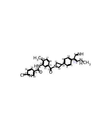 CN/C=C(\C=N)c1ccc(C2CN(C(=O)c3ccc(C)c(NC(=O)c4ccc(Cl)nc4)c3)C2)cc1